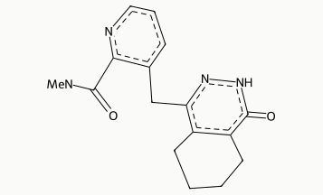 CNC(=O)c1ncccc1Cc1n[nH]c(=O)c2c1CCCC2